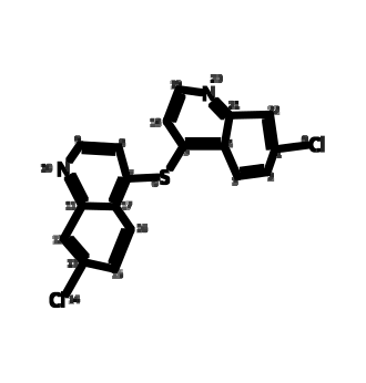 Clc1ccc2c(Sc3ccnc4cc(Cl)ccc34)ccnc2c1